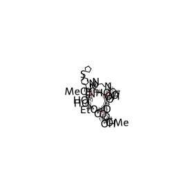 CC[C@H]1OC(=O)[C@H](C)[C@@H](O[C@H]2C[C@@](C)(OC)[C@@H](O)[C@H](C)O2)[C@H](C)[C@@H](O[C@@H]2O[C@H](C)C[C@H](N(C)CCc3cn([C@H](CF)[C@H](OC)c4ccc(SC5CCCC5)cc4)nn3)[C@H]2O)[C@](C)(O)C[C@@H](C)CN(C)[C@H](C)[C@@H](O)[C@]1(C)O